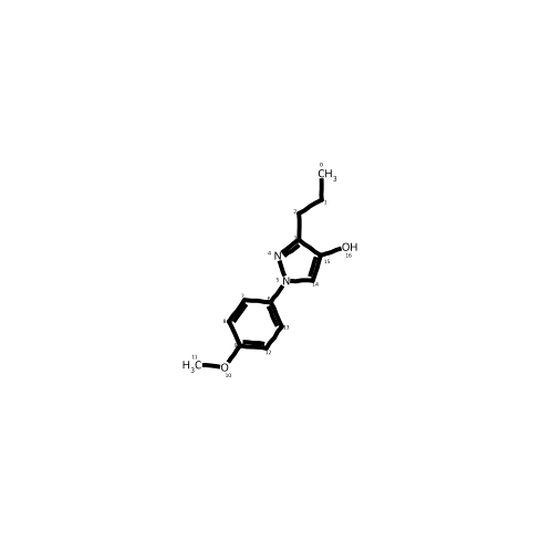 CCCc1nn(-c2ccc(OC)cc2)cc1O